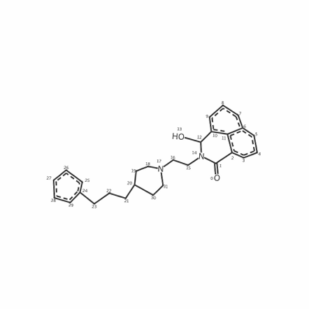 O=C1c2cccc3cccc(c23)C(O)N1CCN1CCC(CCCc2ccccc2)CC1